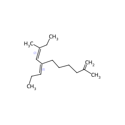 C=C(C)CCCCC(/C=C(/C)CC)=C/CC